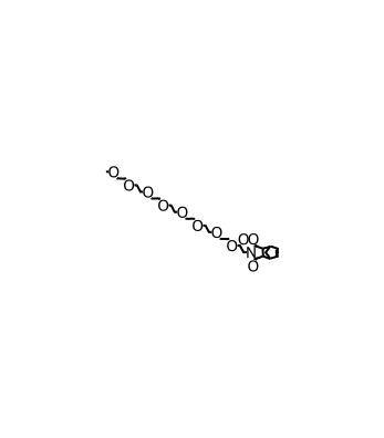 COCCOCCOCCOCCOCCOCCOCCOC(=O)CN1C(=O)C2C3C=CC(C3)C2C1=O